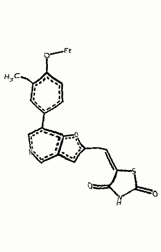 CCOc1ccc(-c2cncc3cc(/C=C4/SC(=O)NC4=O)oc23)cc1C